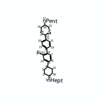 CCCCCCCC1CCC(c2ccc(-c3ccc(C4SCC(CCCCC)CS4)cc3)c(F)c2)CC1